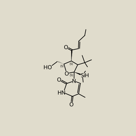 CCC=CC(=O)[C@H]1C(C(C)(C)C)[C@@](n2cc(C)c(=O)[nH]c2=O)([SiH](C)C)O[C@@H]1CO